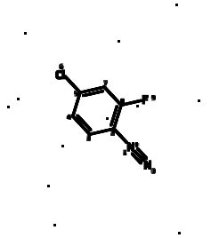 N#[N+]c1ccc(Cl)cc1F